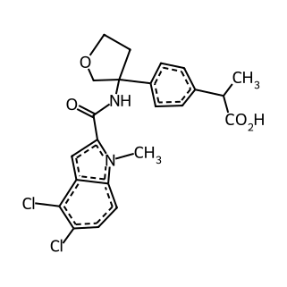 CC(C(=O)O)c1ccc(C2(NC(=O)c3cc4c(Cl)c(Cl)ccc4n3C)CCOC2)cc1